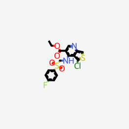 CCOC(=O)c1cnc2csc(Cl)c2c1NCS(=O)(=O)c1ccc(F)cc1